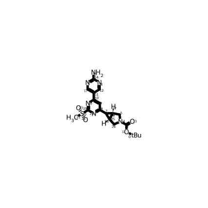 CC(C)(C)OC(=O)N1C[C@@H]2C(c3cc(-c4cnc(N)nc4)nc(S(C)(=O)=O)n3)[C@@H]2C1